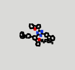 CC1(C)c2ccccc2-c2ccc(-c3nc(-c4cccc5c4oc4ccccc45)nc(-c4cc(-c5ccc(C67CC8CC(CC(C8)C6)C7)cc5)cc5c4oc4ccccc45)n3)cc21